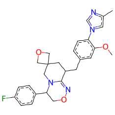 COc1cc(CC2CC3(COC3)CN3C2=NOCC3c2ccc(F)cc2)ccc1-n1cnc(C)c1